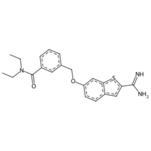 CCN(CC)C(=O)c1cccc(COc2ccc3cc(C(=N)N)sc3c2)c1